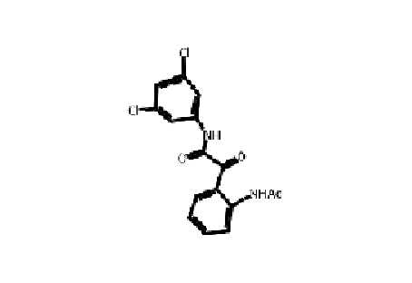 CC(=O)Nc1ccccc1C(=O)C(=O)Nc1cc(Cl)cc(Cl)c1